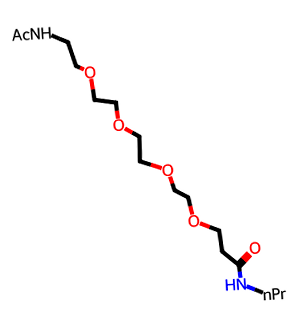 CCCNC(=O)CCOCCOCCOCCOCCNC(C)=O